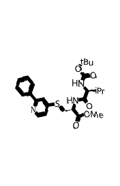 COC(=O)[C@H](CSc1ccnc(-c2ccccc2)c1)NC(=O)[C@@H](NC(=O)OC(C)(C)C)C(C)C